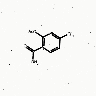 CC(=O)Oc1cc(C(F)(F)F)ccc1C(N)=O